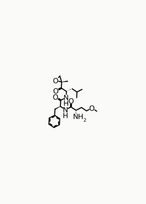 COCC[C@H](N)C(=O)N[C@@H](Cc1ccccc1)C(=O)N[C@@H](CC(C)C)C(=O)[C@@]1(C)CO1